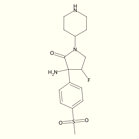 CS(=O)(=O)c1ccc(C2(N)C(=O)N(C3CCNCC3)CC2F)cc1